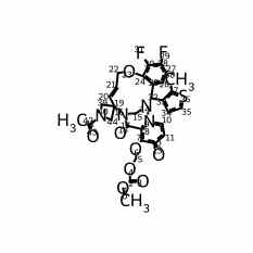 COC(=O)OCOc1c2n(ccc1=O)N1CN(C2=O)C2(/C=C/COc3c(ccc(F)c3F)C1c1ccsc1C)CN(C(C)=O)C2